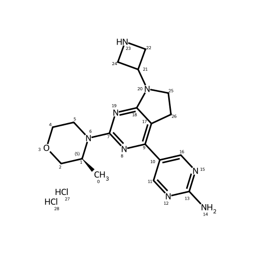 C[C@H]1COCCN1c1nc(-c2cnc(N)nc2)c2c(n1)N(C1CNC1)CC2.Cl.Cl